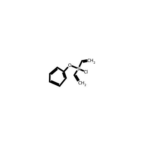 C=C[Si](Cl)(C=C)Oc1ccccc1